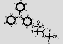 O=S(=O)([O-])C(F)(F)C(F)OC(F)(F)C(F)(F)F.c1ccc([S+](c2ccccc2)c2ccccc2)cc1